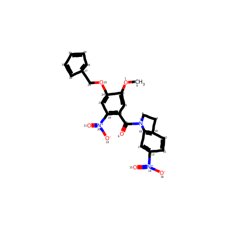 COc1cc(C(=O)N2CCc3ccc([N+](=O)[O-])cc32)c([N+](=O)[O-])cc1OCc1ccccc1